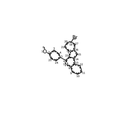 COc1ccc(-c2nc3ccccc3c3cc4cc(Br)ccn4c23)cc1